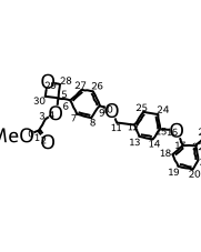 COC(=O)COC1(c2ccc(OCc3ccc(Oc4ccccc4C)cc3)cc2)COC1